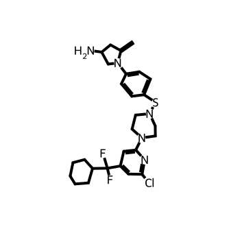 C=C1CC(N)CN1c1ccc(SN2CCN(c3cc(C(F)(F)C4CCCCC4)cc(Cl)n3)CC2)cc1